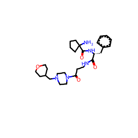 NC1(C(=O)N[C@H](Cc2ccccc2)C(=O)NCCC(=O)N2CCN(CC3CCOCC3)CC2)CCCC1